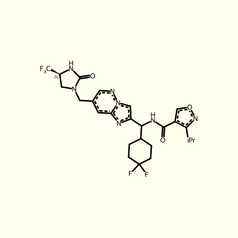 CC(C)c1nocc1C(=O)NC(c1cn2ncc(CN3C[C@@H](C(F)(F)F)NC3=O)cc2n1)C1CCC(F)(F)CC1